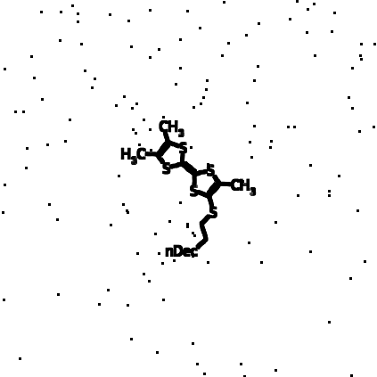 CCCCCCCCCCCCSC1=C(C)SC(=C2SC(C)=C(C)S2)S1